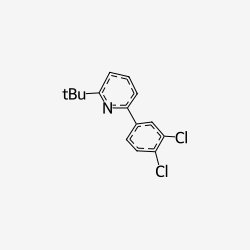 CC(C)(C)c1cccc(-c2ccc(Cl)c(Cl)c2)n1